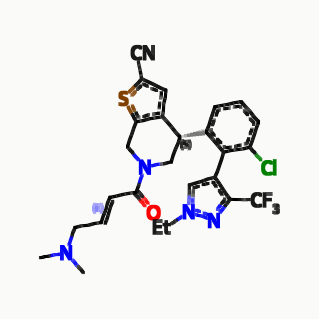 CCn1cc(-c2c(Cl)cccc2[C@@H]2CN(C(=O)/C=C/CN(C)C)Cc3sc(C#N)cc32)c(C(F)(F)F)n1